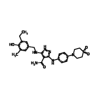 CCc1cc(CNc2[nH]nc(Nc3ccc(N4CCS(=O)(=O)CC4)cc3)c2C(N)=O)cc(C)c1O